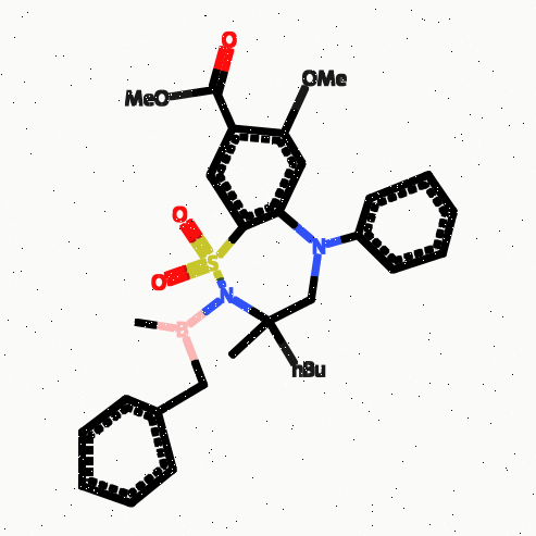 CCCCC1(C)CN(c2ccccc2)c2cc(OC)c(C(=O)OC)cc2S(=O)(=O)N1B(C)Cc1ccccc1